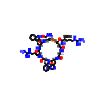 CC(=O)N[C@@H](CCCNC(=N)N)C(=O)N[C@H]1CSSC[C@@H](C(N)=O)NC(=O)[C@H](Cc2c[nH]c3ccccc23)NC(=O)[C@H](CCCNC(=N)N)NC(=O)[C@@H](CC2(C)C=CC=CC2)NC(=O)[C@H](Cc2c[nH]cn2)NC(=O)[C@@H](C)NC1=O